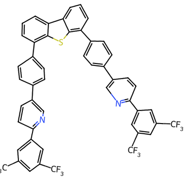 FC(F)(F)c1cc(-c2ccc(-c3ccc(-c4cccc5c4sc4c(-c6ccc(-c7ccc(-c8cc(C(F)(F)F)cc(C(F)(F)F)c8)nc7)cc6)cccc45)cc3)cn2)cc(C(F)(F)F)c1